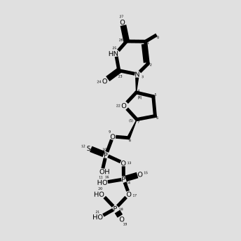 Cc1cn([C@H]2CC[C@@H](COP(O)(=S)OP(=O)(O)OP(=O)(O)O)O2)c(=O)[nH]c1=O